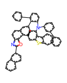 c1ccc(-c2cccc(N(c3cccc(-c4ccccc4)c3-c3ccc4c(ccc5nc(-c6ccc7ccccc7c6)oc54)c3)c3cccc4sc5ccccc5c34)c2)cc1